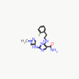 Cn1cc(Nc2ncc(C(N)=O)c(NCCc3ccccc3F)n2)cn1